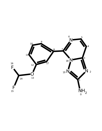 Nc1nc2ccnc(-c3cccc(OC(F)F)c3)n2n1